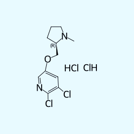 CN1CCC[C@@H]1COc1cnc(Cl)c(Cl)c1.Cl.Cl